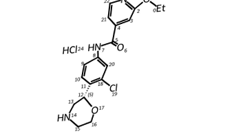 CCOc1cc(C(=O)Nc2ccc([C@H]3CNCCO3)c(Cl)c2)ccn1.Cl